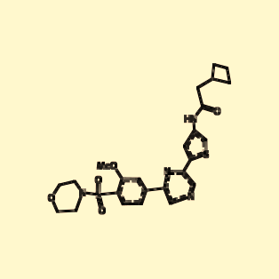 COc1cc(-c2cncc(-c3cc(NC(=O)CC4CCC4)cs3)n2)ccc1S(=O)(=O)N1CCOCC1